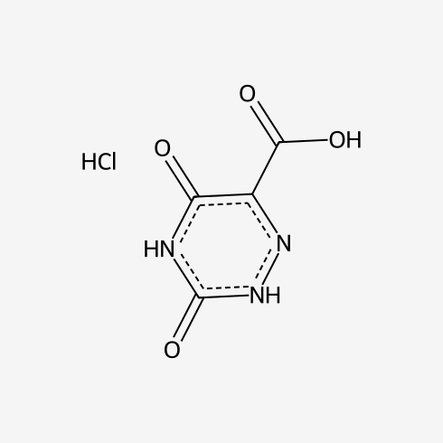 Cl.O=C(O)c1n[nH]c(=O)[nH]c1=O